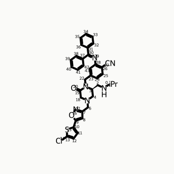 CC(C)NC[C@H]1CN(Cc2cc(-c3ccc(Cl)s3)on2)CC(=O)N1Cc1ccc(C#N)c(N=C(c2ccccc2)c2ccccc2)c1